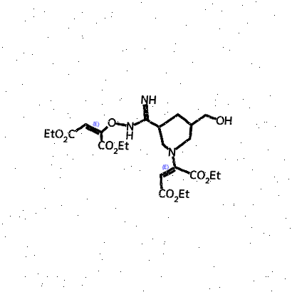 CCOC(=O)/C=C(/ONC(=N)C1CC(CO)CN(/C(=C/C(=O)OCC)C(=O)OCC)C1)C(=O)OCC